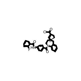 O=C(Cl)C1=C[C@@]2(CC1)CCN(C(=O)c1ccc(NC(=O)c3ccccc3F)cc1)c1ccccc1C2